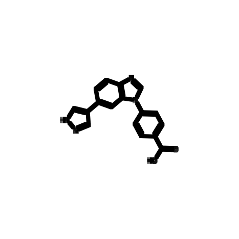 O=C(O)c1ccc(-n2cnc3ccc(-c4cn[nH]c4)cc32)cc1